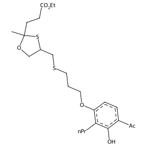 CCCc1c(OCCCSCC2COC(C)(CCC(=O)OCC)S2)ccc(C(C)=O)c1O